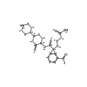 CC(=O)c1cccc2c1C2(OOCC(=O)O)C(=O)ON1CCN(C2CCNCC2)CC1=O